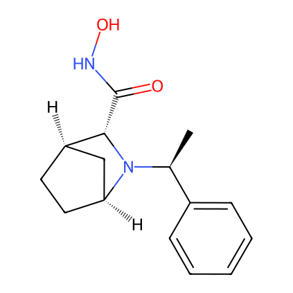 C[C@@H](c1ccccc1)N1[C@H]2CC[C@H](C2)[C@@H]1C(=O)NO